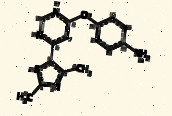 Cc1nc(C)c(-c2cc(Oc3ccc(N)cc3)ncn2)s1